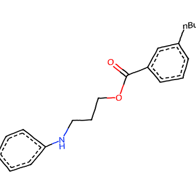 CCCCc1cccc(C(=O)OCCCNc2ccccc2)c1